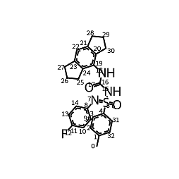 Cc1ccc(S(=O)(=Nc2ccc(F)cc2)NC(=O)Nc2c3c(cc4c2CCC4)CCC3)cc1